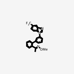 CON=C(C)c1ccccc1-c1cccc(-n2cnc3cc(C(F)(F)F)ccc32)c1